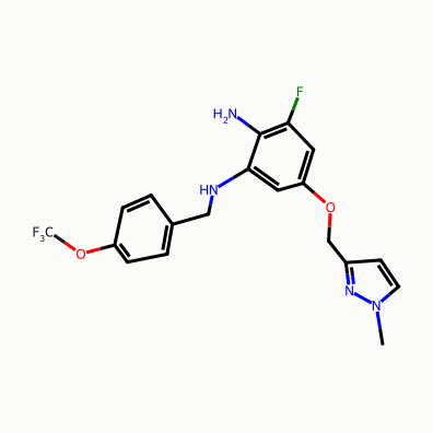 Cn1ccc(COc2cc(F)c(N)c(NCc3ccc(OC(F)(F)F)cc3)c2)n1